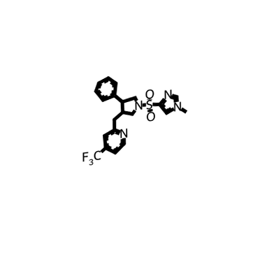 Cn1cnc(S(=O)(=O)N2CC(Cc3cc(C(F)(F)F)ccn3)C(c3ccccc3)C2)c1